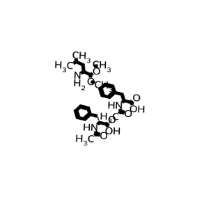 CC(=O)NC(Cc1ccccc1)C(=O)O.CC(=O)N[C@H](Cc1ccccc1)C(=O)O.COC(OC)C(N)CC(C)C